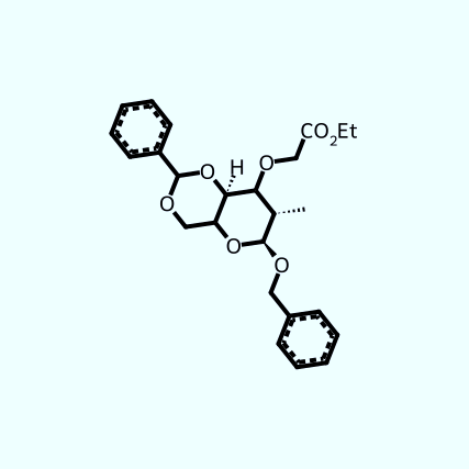 CCOC(=O)COC1[C@@H]2OC(c3ccccc3)OCC2O[C@H](OCc2ccccc2)[C@H]1C